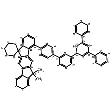 CC1(C)C2=CCCC=C2c2cc3c(cc21)-c1c(-c2ccc(-c4cccc(C5N=C(c6ccccc6)N=C(C6=CCCC=C6)N5)c4)cc2)cccc1C31CCCCC1